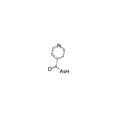 O=C([AsH])c1ccncc1